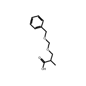 CC(COCOCc1ccccc1)C(=O)O